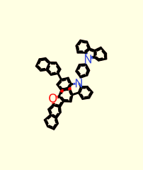 c1cc(-c2ccc3ccccc3c2)cc(N(c2ccc(-n3c4ccccc4c4ccccc43)cc2)c2ccccc2-c2ccc3oc4cc5ccccc5cc4c3c2)c1